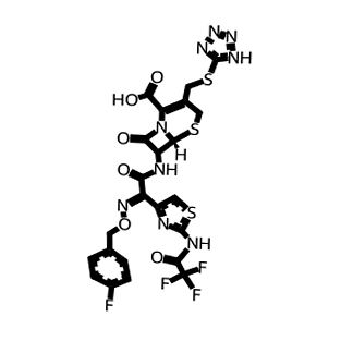 O=C(O)C1=C(CSc2nnn[nH]2)CS[C@@H]2C(NC(=O)/C(=N/OCc3ccc(F)cc3)c3csc(NC(=O)C(F)(F)F)n3)C(=O)N12